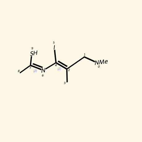 CNC/C(C)=C(I)/N=C(/C)S